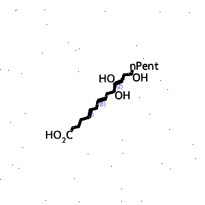 CCCCCC(O)C/C=C(\O)C(O)C/C=C/C/C=C/CCCC(=O)O